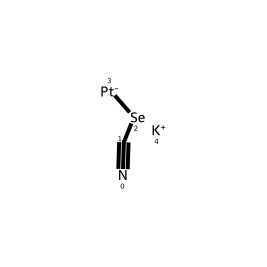 N#C[Se][Pt-].[K+]